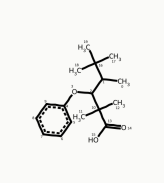 CC(C(Oc1ccccc1)C(C)(C)C(=O)O)C(C)(C)C